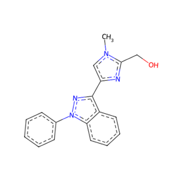 Cn1cc(-c2nn(-c3ccccc3)c3ccccc23)nc1CO